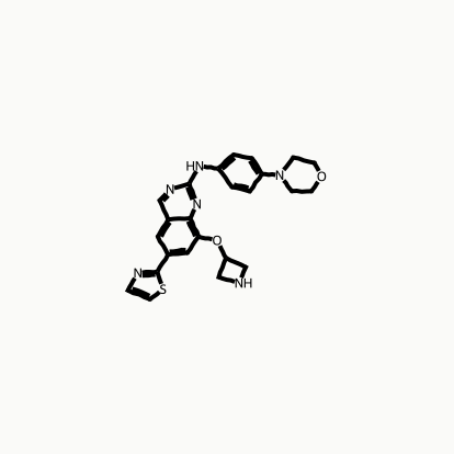 c1csc(-c2cc(OC3CNC3)c3nc(Nc4ccc(N5CCOCC5)cc4)ncc3c2)n1